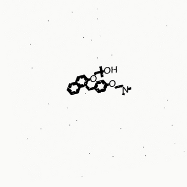 CN(C)CCOc1ccc(Cc2c(OCC(C)(C)O)ccc3ccccc23)cc1